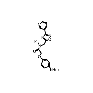 CCCCCCc1ccc(OCC(=O)N(Cc2nc(-c3cccnc3)no2)C(C)C)cc1